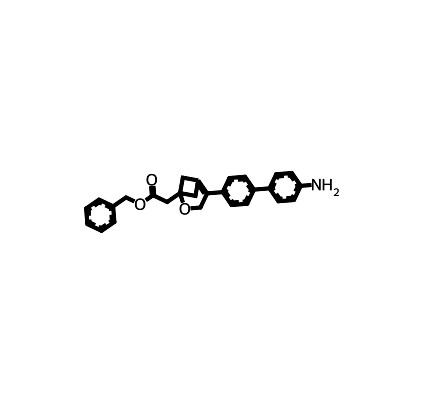 Nc1ccc(-c2ccc(C3=C4CC(CC(=O)OCc5ccccc5)(C4)OC3)cc2)cc1